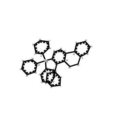 c1ccc(-c2c([Si](c3ccccc3)(c3ccccc3)c3ccccc3)ccc3c2CCc2ccccc2-3)cc1